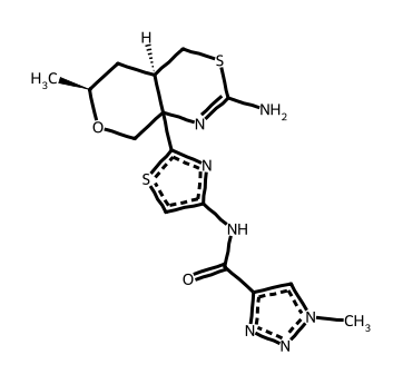 C[C@H]1C[C@H]2CSC(N)=NC2(c2nc(NC(=O)c3cn(C)nn3)cs2)CO1